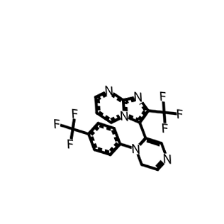 FC(F)(F)c1ccc(N2CC=NC=C2c2c(C(F)(F)F)nc3ncccn23)cc1